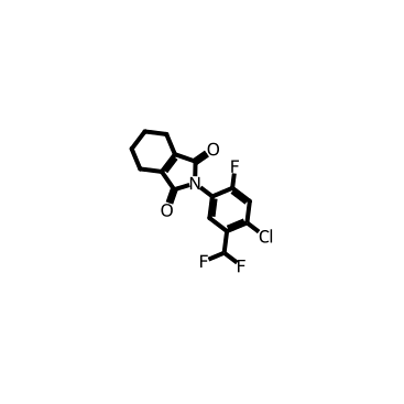 O=C1C2=C(CCCC2)C(=O)N1c1cc(C(F)F)c(Cl)cc1F